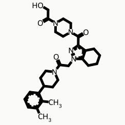 Cc1cccc(C2CCN(C(=O)Cn3nc(C(=O)N4CCN(C(=O)CO)CC4)c4c3CCCC4)CC2)c1C